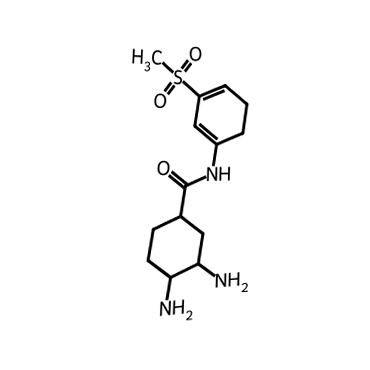 CS(=O)(=O)C1=CCCC(NC(=O)C2CCC(N)C(N)C2)=C1